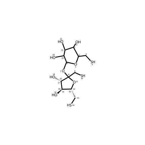 OC1C(CS)OC(OC2(CS)O[C@H](CS)[C@@H](O)[C@@H]2O)C(O)C1O